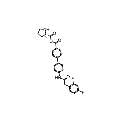 O=C(Cc1ccc(F)cc1F)Nc1ccc(-c2ccc(C(=O)OC(=O)[C@@H]3CCCN3)cc2)cc1